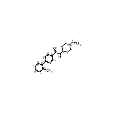 O=C(NC1CCN(CC(F)(F)F)CC1)c1cnc(-c2ccccc2C(F)(F)F)nc1